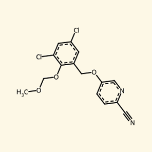 COCOc1c(Cl)cc(Cl)cc1COc1ccc(C#N)nc1